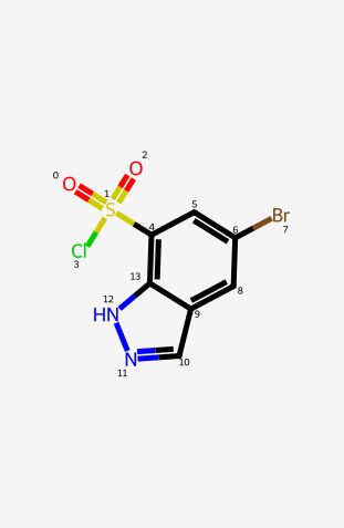 O=S(=O)(Cl)c1cc(Br)cc2cn[nH]c12